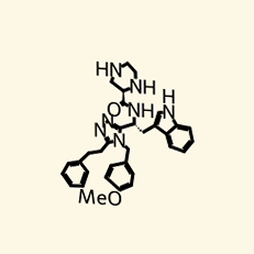 COc1ccc(Cn2c(CCc3ccccc3)nnc2[C@@H](Cc2c[nH]c3ccccc23)NC(=O)[C@H]2CNCCN2)cc1